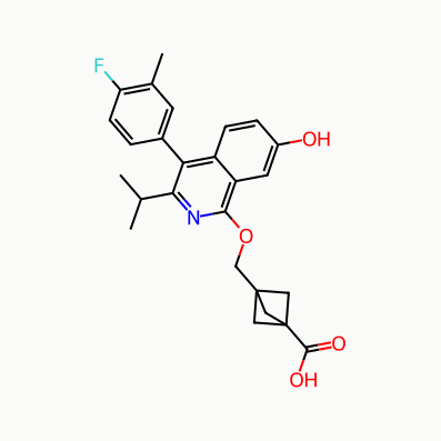 Cc1cc(-c2c(C(C)C)nc(OCC34CC(C(=O)O)(C3)C4)c3cc(O)ccc23)ccc1F